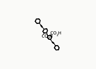 O=C(O)c1cc(C#Cc2ccccc2)ccc1-c1ccc(C#Cc2ccccc2)cc1C(=O)O